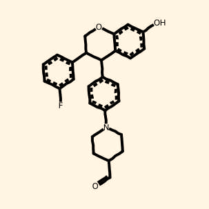 O=CC1CCN(c2ccc(C3c4ccc(O)cc4OCC3c3cccc(F)c3)cc2)CC1